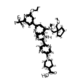 CCOc1cc(-c2cc(N(C)CC3(COC)CCCC3)c3[nH]c(-c4cnc(N5CCC(C(=O)O)CC5)cn4)nc3n2)cc(C(F)(F)F)n1